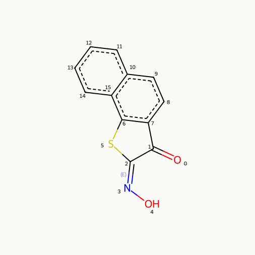 O=C1/C(=N\O)Sc2c1ccc1ccccc21